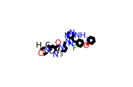 CC(C)(C=C(C#N)C(=O)N1CCCC1Cn1nc(-c2ccc(Oc3ccccc3)cc2F)c2c(N)ncnc21)N1CCOCC1